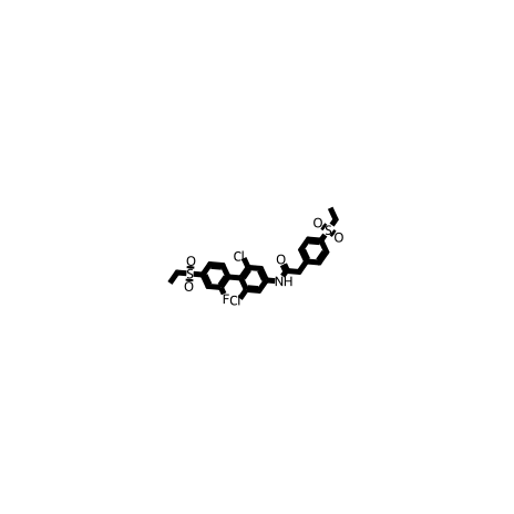 CCS(=O)(=O)c1ccc(CC(=O)Nc2cc(Cl)c(-c3ccc(S(=O)(=O)CC)cc3F)c(Cl)c2)cc1